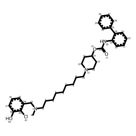 CN(CCCCCCCCCN1CCC(OC(=O)Nc2ccccc2-c2ccccc2)CC1)Cc1cccc(O)c1Cl